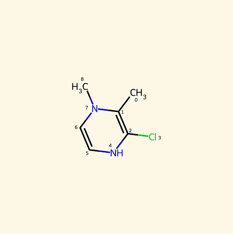 CC1=C(Cl)NC=CN1C